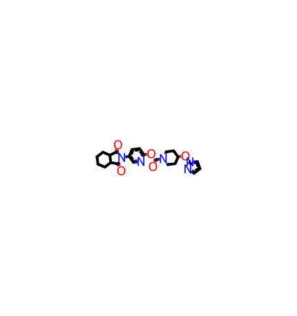 O=C(Oc1ccc(N2C(=O)C3CCCCC3C2=O)cn1)N1CCC(On2cccn2)CC1